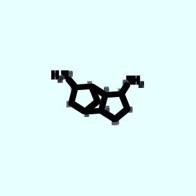 NC1CC2CC1C1C(N)CCC21